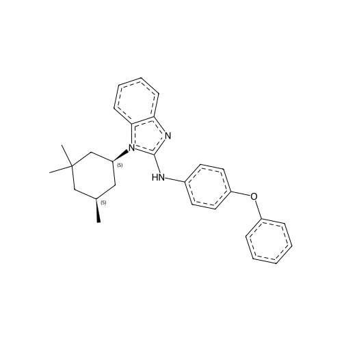 C[C@@H]1C[C@H](n2c(Nc3ccc(Oc4ccccc4)cc3)nc3ccccc32)CC(C)(C)C1